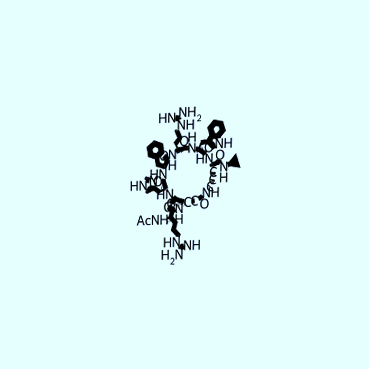 CC(=O)N[C@@H](CCCNC(=N)N)C(=O)N[C@H]1CCC(=O)NCCCC(C(=O)NC2CC2)NC(=O)[C@H](Cc2c[nH]c3ccccc23)NC(=O)[C@H](CCCNC(=N)N)NC(=O)C(Cc2ccccc2)NC(=O)[C@H](Cc2c[nH]cn2)NC1=O